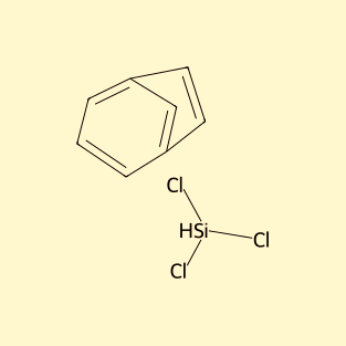 C1=Cc2cccc1c2.Cl[SiH](Cl)Cl